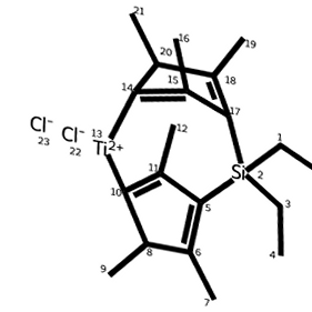 CC[Si]1(CC)C2=C(C)C(C)[C](=C2C)[Ti+2][C]2=C(C)C1=C(C)C2C.[Cl-].[Cl-]